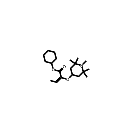 CC=C(OC1CC(C)(C)N(C)C(C)(C)C1)C(=O)OC1CCCCC1